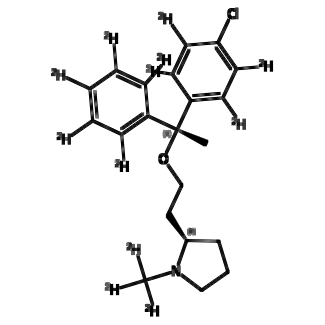 [2H]c1c([2H])c([2H])c([C@@](C)(OCC[C@H]2CCCN2C([2H])([2H])[2H])c2c([2H])c([2H])c(Cl)c([2H])c2[2H])c([2H])c1[2H]